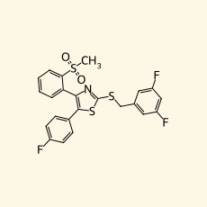 CS(=O)(=O)c1ccccc1-c1nc(SCc2cc(F)cc(F)c2)sc1-c1ccc(F)cc1